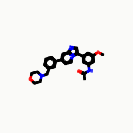 COc1cc(NC(C)=O)cc(-c2cnc3cc(-c4cccc(CN5CCOCC5)c4)ccn23)c1